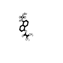 C=C(C(=O)OC1CCCC2C(NS(=O)(=O)CCCC)CCCC12)C(F)(F)F